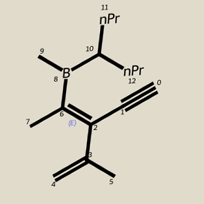 C#C/C(C(=C)C)=C(/C)B(C)C(CCC)CCC